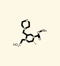 C[C@@H]1CN(CC(=O)O)C(CN2CCOCC2)CN1C(=O)OC(C)(C)C